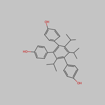 CC(C)c1c(-c2ccc(O)cc2)c(-c2ccc(O)cc2)c(C(C)C)c(C(C)C)c1-c1ccc(O)cc1